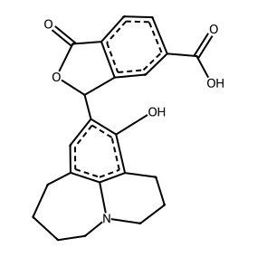 O=C(O)c1ccc2c(c1)C(c1cc3c4c(c1O)CCCN4CCCC3)OC2=O